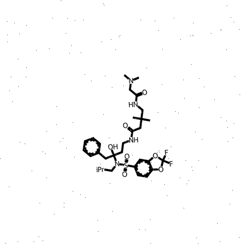 CC(C)CN(C(O)(CCNC(=O)CC(C)(C)CNC(=O)CN(C)C)Cc1ccccc1)S(=O)(=O)c1ccc2c(c1)OC(F)(F)O2